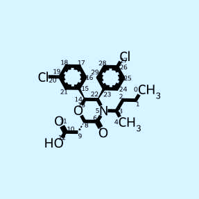 CCCC(C)N1C(=O)[C@H](CC(=O)O)O[C@@H](c2cccc(Cl)c2)[C@H]1c1ccc(Cl)cc1